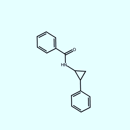 O=C(NC1CC1c1ccccc1)c1ccccc1